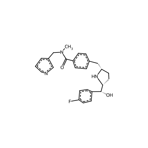 CN(Cc1cccnc1)C(=O)c1ccc(C[C@@H]2CC[C@H]([C@H](O)c3ccc(F)cc3)N2)cc1